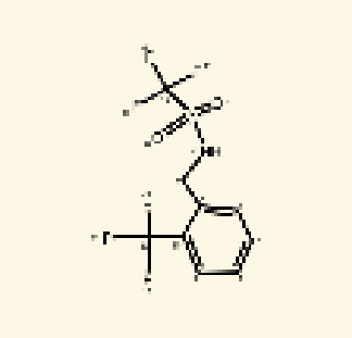 O=S(=O)(NCc1ccccc1C(F)(F)F)C(F)(F)F